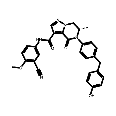 COc1ccc(NC(=O)c2cnn3c2C(=O)N(c2ccc(Cc4ccc(O)cc4)cc2)[C@@H](C)C3)cc1C#N